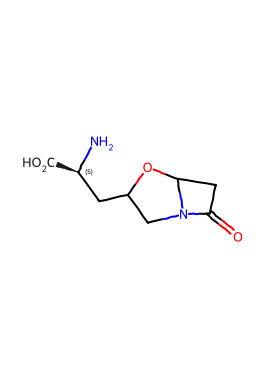 N[C@@H](CC1CN2C(=O)CC2O1)C(=O)O